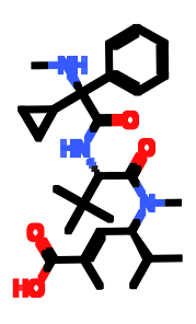 CN[C@](C(=O)N[C@H](C(=O)N(C)[C@H](/C=C(\C)C(=O)O)C(C)C)C(C)(C)C)(c1ccccc1)C1CC1